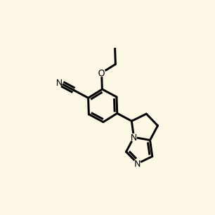 CCOc1cc(C2CCc3cncn32)ccc1C#N